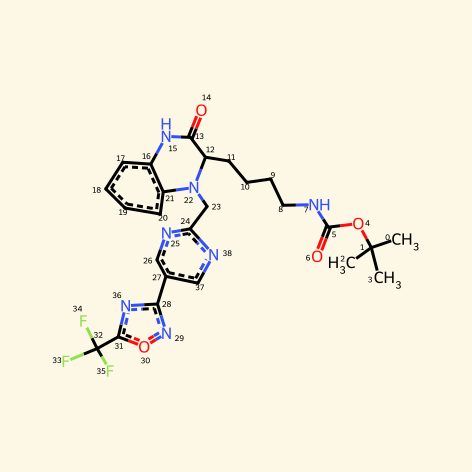 CC(C)(C)OC(=O)NCCCCC1C(=O)Nc2ccccc2N1Cc1ncc(-c2noc(C(F)(F)F)n2)cn1